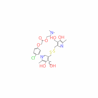 CN(C)CCOC(=O)COc1ccc(Cl)cc1.Cc1ncc(CSSCc2cnc(C)c(O)c2CO)c(CO)c1O